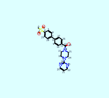 CS(=O)(=O)c1ccc(-c2ccc(C(=O)N3CCN(c4ncccn4)CC3)cc2)cc1